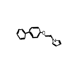 C(=C\n1cccc1)/Oc1ccc(-c2ccccc2)cc1